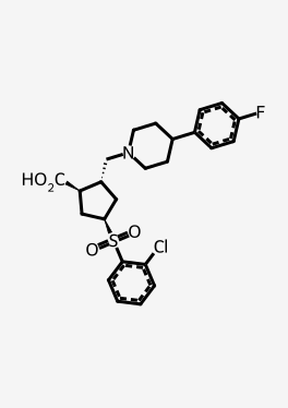 O=C(O)[C@@H]1C[C@H](S(=O)(=O)c2ccccc2Cl)C[C@H]1CN1CCC(c2ccc(F)cc2)CC1